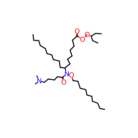 CCCCCCCCCCON(C(=O)CCCCN(C)C)C(CCCCCCCCCC)CCCCCCC(=O)OOC(CC)CC